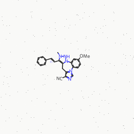 COc1ccc2c(c1)N1NN(C)C(/C=C/c3ccccc3)=C1Cc1c(C#N)ncn1-2